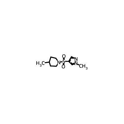 CC1CCN(S(=O)(=O)c2cnn(C)c2)CC1